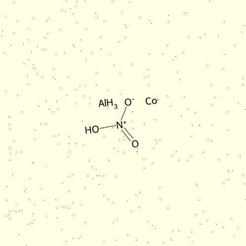 O=[N+]([O-])O.[AlH3].[Co]